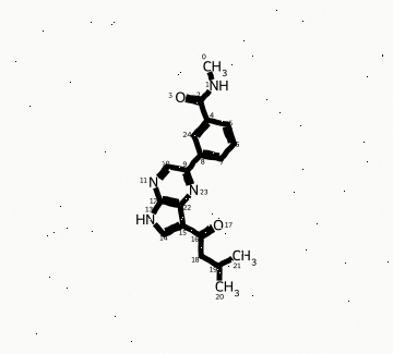 CNC(=O)c1cccc(-c2cnc3[nH]cc(C(=O)CC(C)C)c3n2)c1